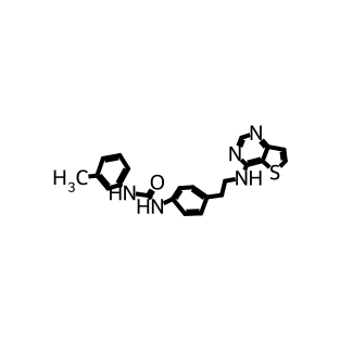 Cc1cccc(NC(=O)Nc2ccc(CCNc3ncnc4ccsc34)cc2)c1